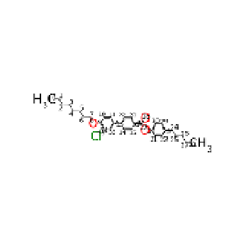 CCCCCCCCOc1ccc(-c2ccc(C(=O)Oc3ccc(CCCCC)cc3)cc2)cc1Cl